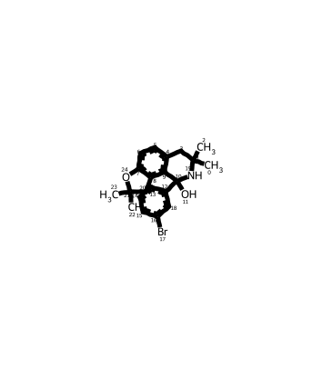 CC1(C)Cc2ccc3c(c2C(O)(c2cccc(Br)c2)N1)CC(C)(C)O3